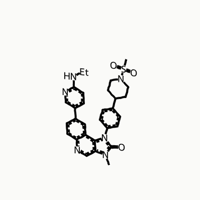 CCNc1ccc(-c2ccc3ncc4c(c3c2)n(-c2ccc(C3CCN(S(C)(=O)=O)CC3)cc2)c(=O)n4C)cn1